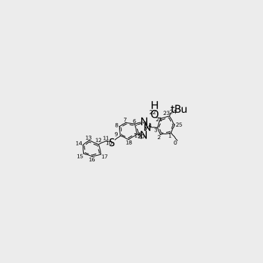 Cc1cc(-n2nc3ccc(SCc4ccccc4)cc3n2)c(O)c(C(C)(C)C)c1